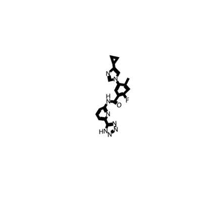 Cc1cc(F)c(C(=O)Nc2cccc(-c3nnn[nH]3)n2)cc1-n1cnc(C2CC2)c1